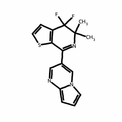 CC1(C)N=C(c2cnc3cccn3c2)c2sccc2C1(F)F